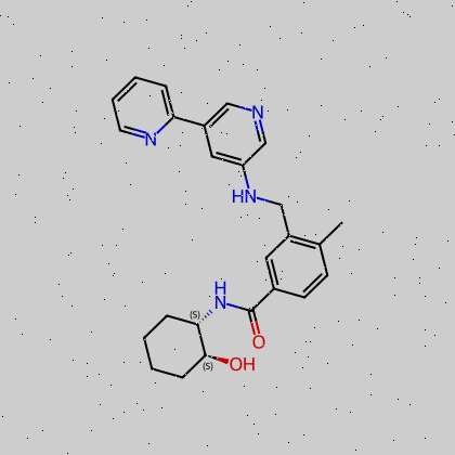 Cc1ccc(C(=O)N[C@H]2CCCC[C@@H]2O)cc1CNc1cncc(-c2ccccn2)c1